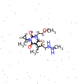 CNNCc1sc2c(c1C)c(=O)n(C1(C)CC1)c(=O)n2CCOC